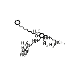 Cc1cc(CNCCCN(C)C)c(C)c(CNCCCN(C)C)c1OCCCCCCCCc1ccccc1.Cl.Cl.Cl.Cl